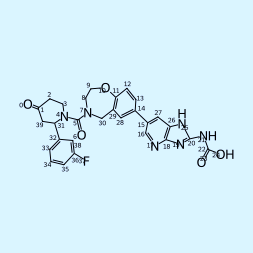 O=C1CCN(C(=O)N2CCOc3ccc(-c4cnc5nc(NC(=O)O)[nH]c5c4)cc3C2)C(c2cccc(F)c2)C1